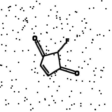 O=C1C=CC(=O)C1F